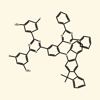 CCCCc1cc(I)cc(-c2nc(-c3cc(I)cc(CCCC)c3)nc(-c3ccc(-n4c5ccccc5c5cc6c(cc54)C(C)(C)c4ccccc4-6)c(-c4nc(-c5ccccc5)nc(-c5ccccc5)n4)c3)n2)c1